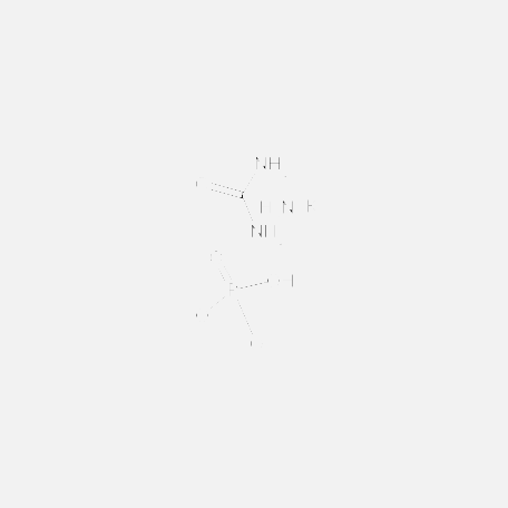 N.NC(N)=O.O=P([O-])(O)O.[K+]